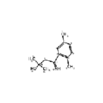 Cc1ccc(C)c(C(=N)CC(C)(C)O)c1